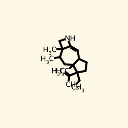 C=C(C)C1(CC)CCC2C=C3NCC3(C)C(C)CC21C